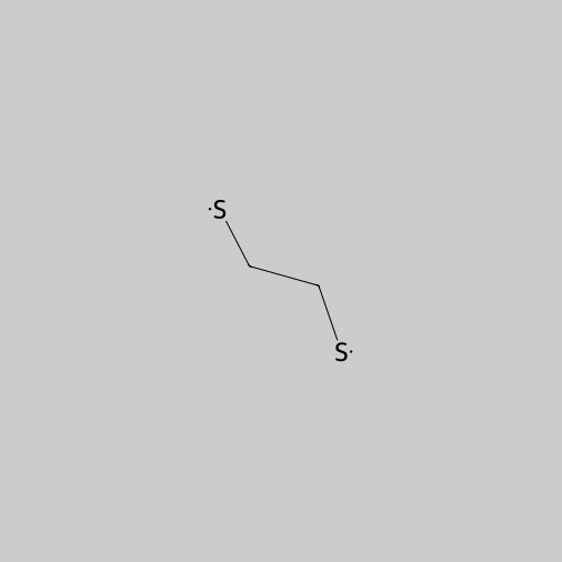 [S]CC[S]